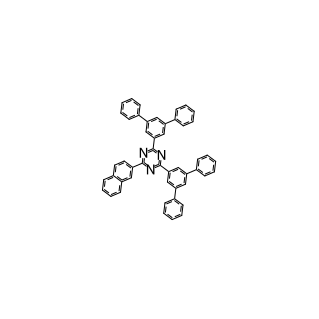 c1ccc(-c2cc(-c3ccccc3)cc(-c3nc(-c4cc(-c5ccccc5)cc(-c5ccccc5)c4)nc(-c4ccc5ccccc5c4)n3)c2)cc1